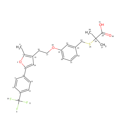 Cc1oc(-c2ccc(C(F)(F)F)cc2)cc1CCOc1cccc(CSC(C)(C)C(=O)O)c1